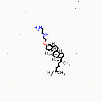 CC(C)CCC[C@@H](C)C1CC[C@H]2[C@@H]3CC[C@H]4C[C@@H](OCCNCCN)CC[C@]4(C)[C@H]3CC[C@]12C